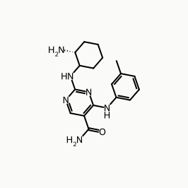 Cc1cccc(Nc2nc(NC3CCCC[C@H]3N)ncc2C(N)=O)c1